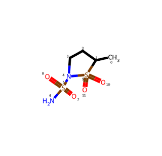 CC1CCN(S(N)(=O)=O)S1(=O)=O